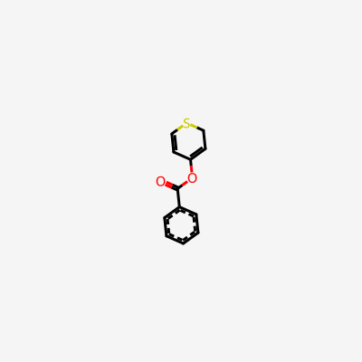 O=C(OC1=CCSC=C1)c1ccccc1